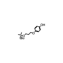 CC(C)(C)[Si](C)(C)OCCCOc1ccc(O)cc1